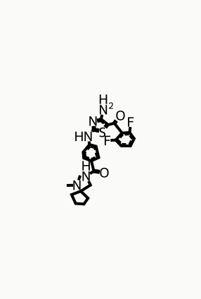 CN(C)C1(CNC(=O)c2ccc(Nc3nc(N)c(C(=O)c4c(F)cccc4F)s3)cc2)CCCC1